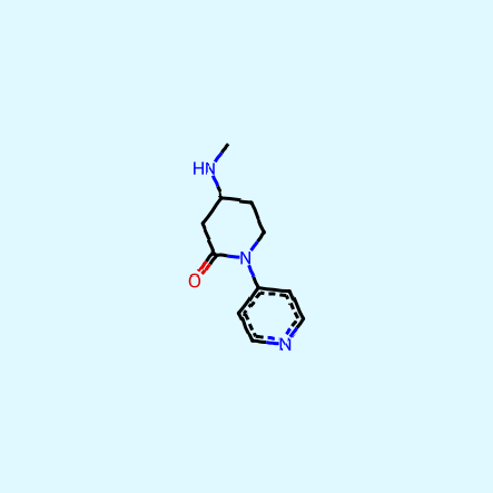 CNC1CCN(c2ccncc2)C(=O)C1